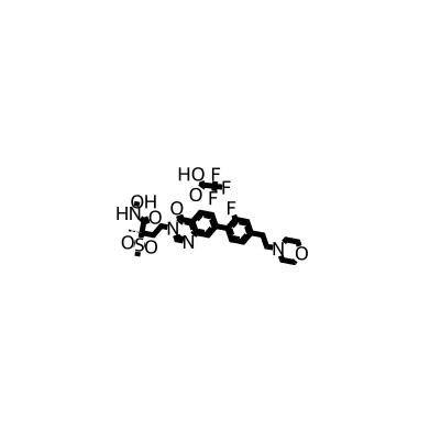 C[C@@](CCn1cnc2cc(-c3ccc(CCN4CCOCC4)cc3F)ccc2c1=O)(C(=O)NO)S(C)(=O)=O.O=C(O)C(F)(F)F